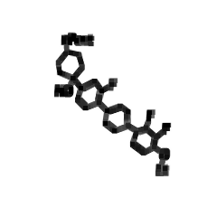 CCCCCC1CCC(O)(c2ccc(-c3ccc(-c4ccc(OCC)c(F)c4F)cc3)c(F)c2)CC1